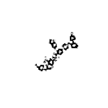 C=NC1CCN(C[C@@H]2COc3cc(S(=O)(=O)NC(=O)c4ccc(N5CCN(CC6=C(c7ccc(Cl)cc7)CC(C)(C)CC6)CC5)cc4Oc4cnc5[nH]ccc5c4)cc([N+](=O)[O-])c3N2)CC1